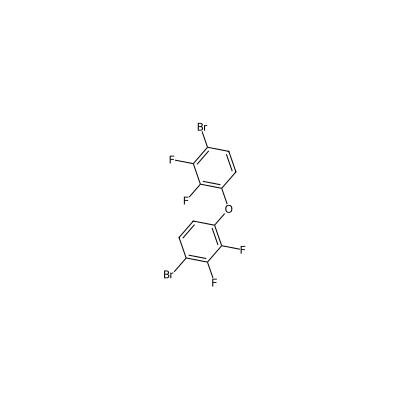 Fc1c(Br)ccc(Oc2ccc(Br)c(F)c2F)c1F